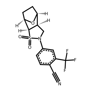 N#Cc1ccc(N2C[C@H]3[C@H]([C@H]4CC[C@@H]3O4)S2(=O)=O)cc1C(F)(F)F